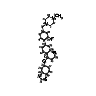 CN1CCN(Cc2ccc(-c3ccc4c(Oc5ccc6scnc6c5)ccnc4c3)c(F)c2)CC1